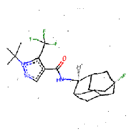 CC(C)(C)n1ncc(C(=O)N[C@H]2C3CC4CC2C[C@](F)(C4)C3)c1C(F)(F)F